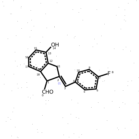 O=CC1/C(=C/c2ccc(F)cc2)Cc2c(O)cccc21